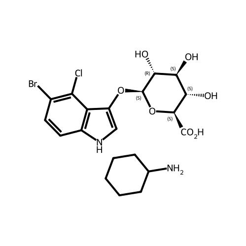 NC1CCCCC1.O=C(O)[C@H]1O[C@@H](Oc2c[nH]c3ccc(Br)c(Cl)c23)[C@H](O)[C@@H](O)[C@@H]1O